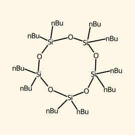 CCCC[Si]1(CCCC)O[Si](CCCC)(CCCC)O[Si](CCCC)(CCCC)O[Si](CCCC)(CCCC)O[Si](CCCC)(CCCC)O1